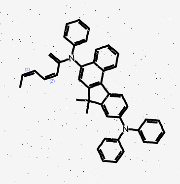 C=C(/C=C\C=C/C)N(c1ccccc1)c1cc2c(c3ccccc13)-c1ccc(N(c3ccccc3)c3ccccc3)cc1C2(C)C